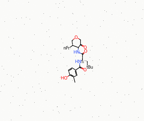 CCCC1COCC(=O)C1NC(=O)[C@H](CC(C)(C)C)NC(=O)c1ccc(O)c(C)c1